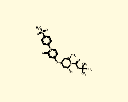 CC[C@@H]1C[C@H](Oc2ccn(-c3ccc(S(C)(=O)=O)cc3)c(=O)c2)C[C@@H](C)N1C(=O)OC(C)(C)C(F)(F)F